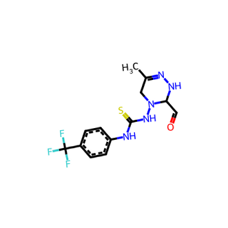 CC1=NNC(C=O)N(NC(=S)Nc2ccc(C(F)(F)F)cc2)C1